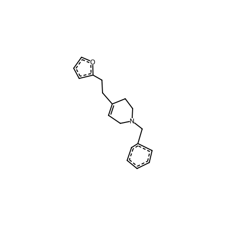 C1=C(CCc2ccco2)CCN(Cc2ccccc2)C1